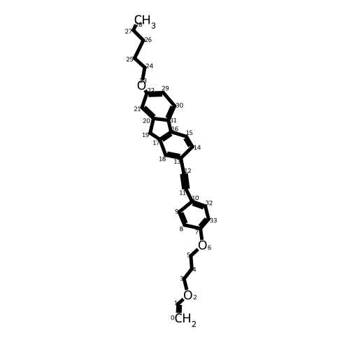 C=COCCCOc1ccc(C#Cc2ccc3c(c2)Cc2cc(OCCCCC)ccc2-3)cc1